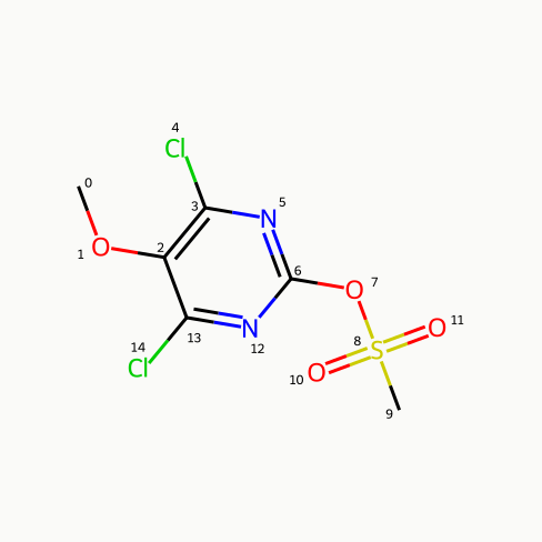 COc1c(Cl)nc(OS(C)(=O)=O)nc1Cl